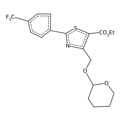 CCOC(=O)c1sc(-c2ccc(C(F)(F)F)cc2)nc1COC1CCCCO1